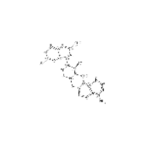 CC[C@H]1C(C=O)N(Cc2ccc3c(N)ncnc3c2)CCN1c1nc(C=O)cc2ccc(Cl)cc12